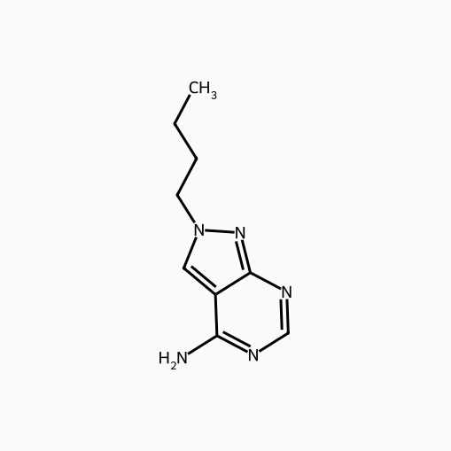 CCCCn1cc2c(N)ncnc2n1